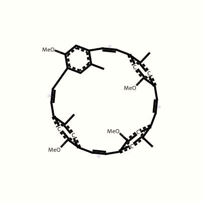 COc1cc2c(C)cc1/C=C\c1cc(OC)c(cc1C)/C=C\c1cc(C)c(cc1OC)/C=C\c1cc(C)c(cc1OC)/C=C\2